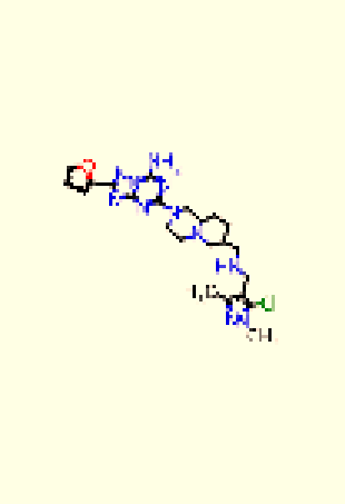 Cc1nn(C)c(Cl)c1CNCC1CCC2CN(c3nc(N)n4nc(-c5ccco5)nc4n3)CCN2C1